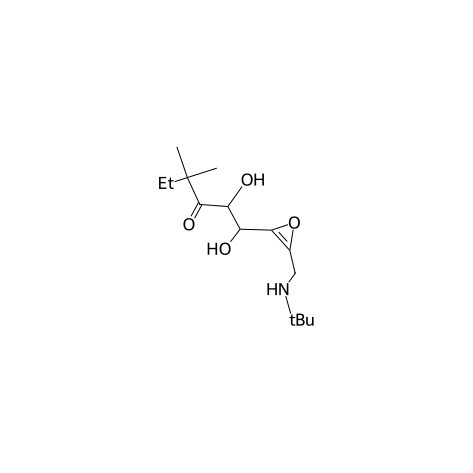 CCC(C)(C)C(=O)C(O)C(O)C1=C(CNC(C)(C)C)O1